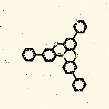 O=P12c3ccc(-c4ccccc4)cc3Oc3cc(-c4cccnc4)cc(c31)Oc1cc(-c3ccccc3)ccc12